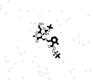 COC(=O)[C@H](CSCc1cccc(C)c1C(=O)OO[Si](C)(C)C(C)(C)C)N(NC(=O)OC(C)(C)C)C(=O)CCO